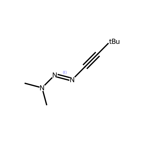 CN(C)/N=N/C#CC(C)(C)C